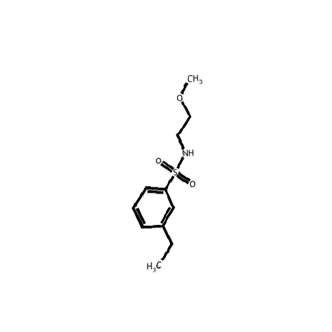 CCc1cccc(S(=O)(=O)NCCOC)c1